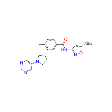 Cc1ccc(C(=O)Nc2cc(C(C)(C)C)on2)cc1[C@@H]1CCN(c2cncnc2)C1